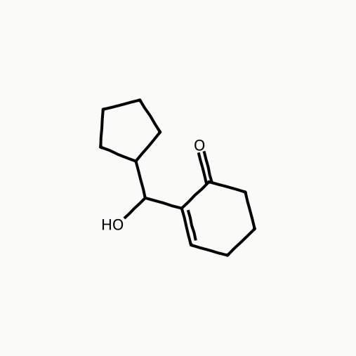 O=C1CCCC=C1C(O)C1CCCC1